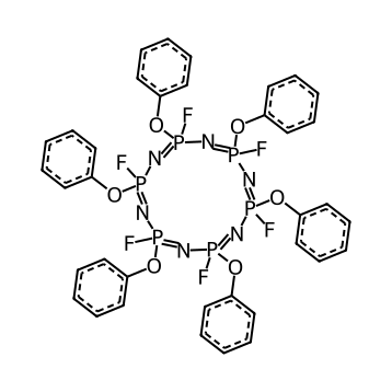 FP1(Oc2ccccc2)=NP(F)(Oc2ccccc2)=NP(F)(Oc2ccccc2)=NP(F)(Oc2ccccc2)=NP(F)(Oc2ccccc2)=NP(F)(Oc2ccccc2)=N1